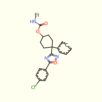 CCNC(=O)OC1CCC(c2ccccc2)(c2noc(-c3ccc(Cl)cc3)n2)CC1